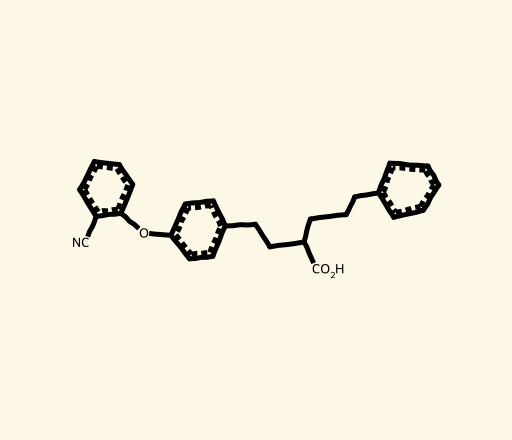 N#Cc1ccccc1Oc1ccc(CCC(CCCc2ccccc2)C(=O)O)cc1